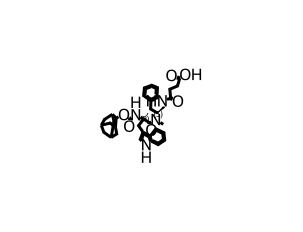 CN(C(=O)[C@@](C)(Cc1c[nH]c2ccccc12)NC(=O)OC1C2CC3CC(C2)CC1C3)[C@H](CNC(=O)CCC(=O)O)Cc1ccccc1